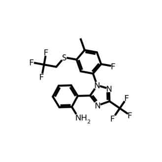 Cc1cc(F)c(-n2nc(C(F)(F)F)nc2-c2ccccc2N)cc1SCC(F)(F)F